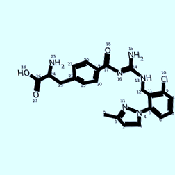 Cc1ccn(-c2cccc(Cl)c2CNC(N)=NC(=O)c2ccc(CC(N)C(=O)O)cc2)n1